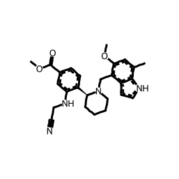 COC(=O)c1ccc([C@@H]2CCCCN2Cc2c(OC)cc(C)c3[nH]ccc23)c(NCC#N)c1